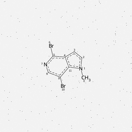 Cn1ccc2c(Br)ncc(Br)c21